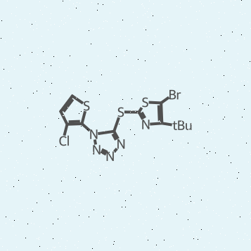 CC(C)(C)c1nc(Sc2nnnn2-c2sccc2Cl)sc1Br